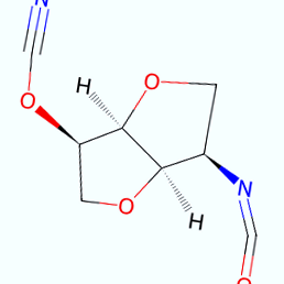 N#CO[C@@H]1CO[C@H]2[C@@H]1OC[C@H]2N=C=O